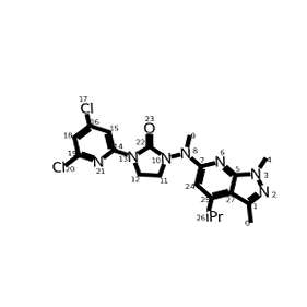 Cc1nn(C)c2nc(N(C)N3CCN(c4cc(Cl)cc(Cl)n4)C3=O)cc(C(C)C)c12